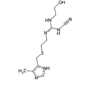 Cc1nc[nH]c1CSCC/N=C(\NC#N)NCCO